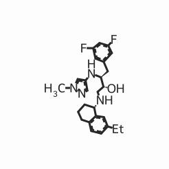 CCc1ccc2c(c1)[C@@H](NC[C@@H](O)[C@H](Cc1cc(F)cc(F)c1)Nc1cnn(C)c1)CCC2